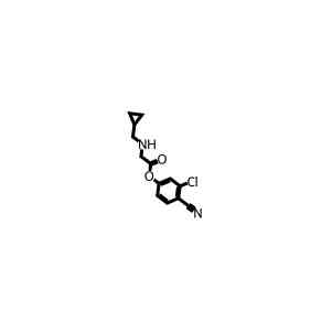 N#Cc1ccc(OC(=O)CNCC2CC2)cc1Cl